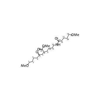 COCCCCC(=O)CC(CCCCNC(=O)CCCCOC)C(=O)OC